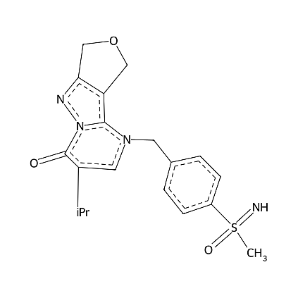 CC(C)c1cn(Cc2ccc(S(C)(=N)=O)cc2)c2c3c(nn2c1=O)COC3